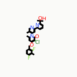 Cc1cnc(-c2cccc(C(C)(C)O)n2)cc1-n1c(C)cc(OCc2ccc(F)c(C)c2F)c(Cl)c1=O